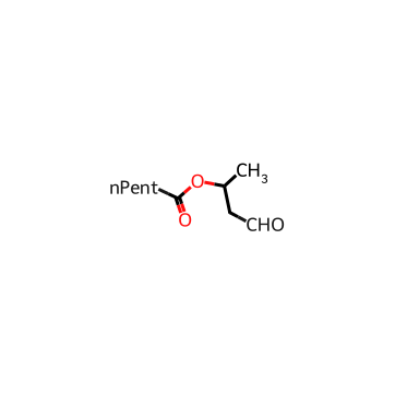 CCCCCC(=O)OC(C)CC=O